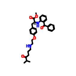 COC(=O)[C@H](Cc1ccc(OCCNCCCC(=O)C(C)C)cc1)Nc1ccccc1C(=O)c1ccccc1